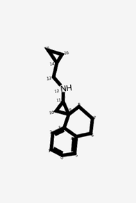 c1ccc2c(c1)CCCC21CC1NCC1CC1